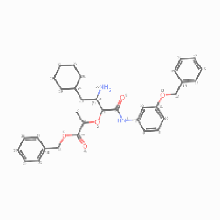 CC(OC(C(=O)Nc1cccc(OCc2ccccc2)c1)[C@H](N)CC1CCCCC1)C(=O)OCc1ccccc1